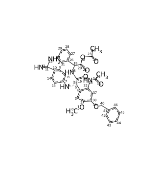 COc1cc([C@H](Nc2ccc(C(=N)N)cc2)C(=O)NC(C(=O)OC(C)=O)c2ccccc2)c(NC(C)=O)cc1OCc1ccccc1